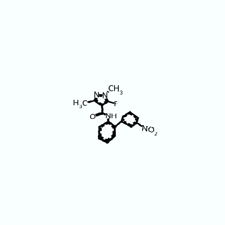 Cc1nn(C)c(F)c1C(=O)Nc1ccccc1-c1cccc([N+](=O)[O-])c1